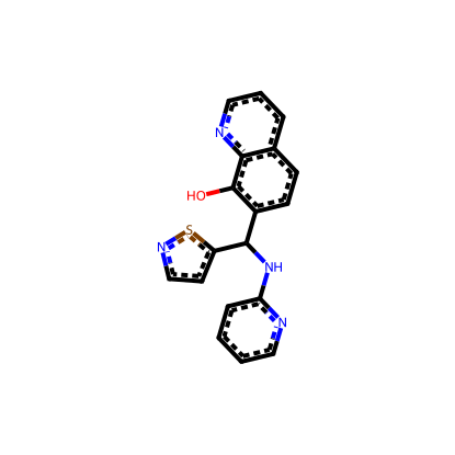 Oc1c(C(Nc2ccccn2)c2ccns2)ccc2cccnc12